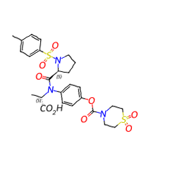 Cc1ccc(S(=O)(=O)N2CCC[C@H]2C(=O)N(c2ccc(OC(=O)N3CCS(=O)(=O)CC3)cc2)[C@@H](C)C(=O)O)cc1